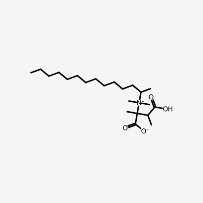 CCCCCCCCCCCCC(C)[N+](C)(C)C(C)(C(=O)[O-])C(C)C(=O)O